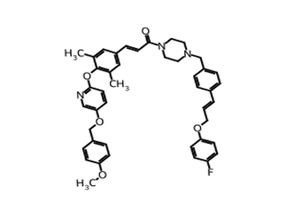 COc1ccc(COc2ccc(Oc3c(C)cc(C=CC(=O)N4CCN(Cc5ccc(C=CCOc6ccc(F)cc6)cc5)CC4)cc3C)nc2)cc1